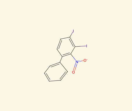 O=[N+]([O-])c1c(-c2ccccc2)ccc(I)c1I